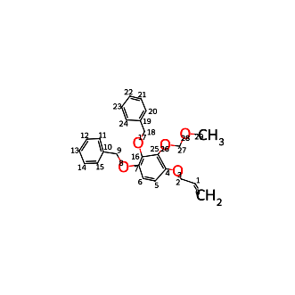 C=CCOc1ccc(OCc2ccccc2)c(OCc2ccccc2)c1OCOC